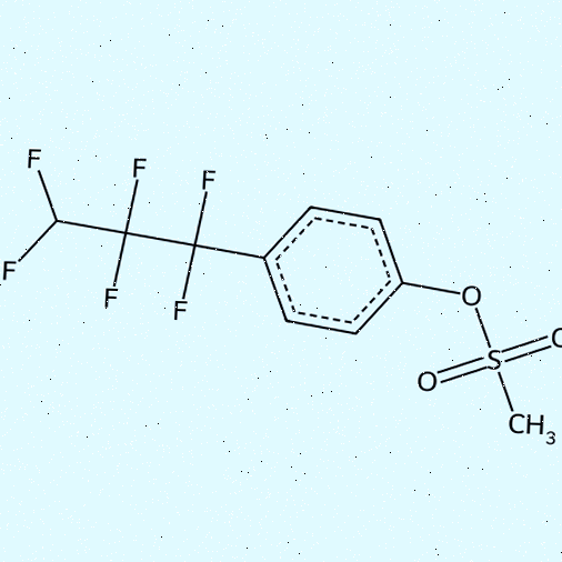 CS(=O)(=O)Oc1ccc(C(F)(F)C(F)(F)C(F)F)cc1